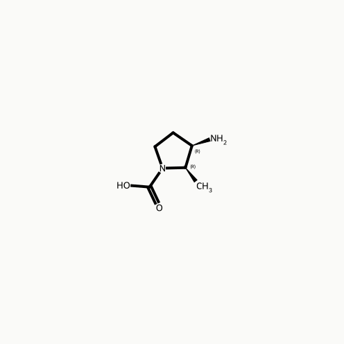 C[C@@H]1[C@H](N)CCN1C(=O)O